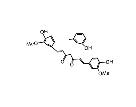 COc1cc(C=CC(=O)CC(=O)C=Cc2ccc(O)c(OC)c2)ccc1O.Cc1cccc(O)c1